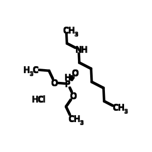 CCCCCCNCC.CCO[PH](=O)OCC.Cl